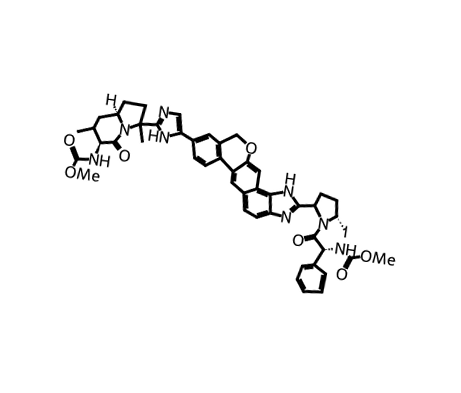 COC(=O)N[C@@H]1C(=O)N2[C@H](CCC2(C)c2ncc(-c3ccc4c(c3)COc3cc5c(ccc6nc(C7CC[C@H](I)N7C(=O)[C@H](NC(=O)OC)c7ccccc7)[nH]c65)cc3-4)[nH]2)CC1C